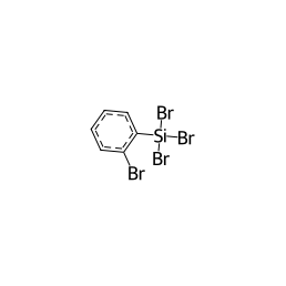 Brc1ccccc1[Si](Br)(Br)Br